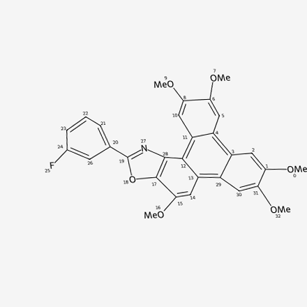 COc1cc2c3cc(OC)c(OC)cc3c3c(cc(OC)c4oc(-c5cccc(F)c5)nc43)c2cc1OC